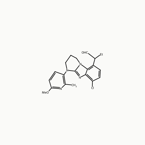 CCC(C=O)c1ccc(Cl)c2nc3n(c12)CCCN3c1ccc(OC)nc1C